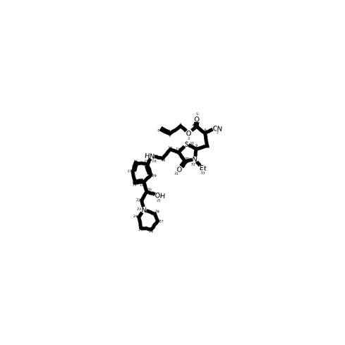 C=CCOC(=O)C(C#N)CC1SC(CCNc2cccc(C(O)CN3CCCCC3)c2)C(=O)N1CC